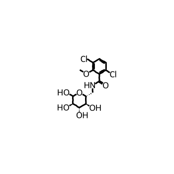 COc1c(Cl)ccc(Cl)c1C(=O)NC[C@H]1OC(O)[C@H](O)[C@@H](O)[C@@H]1O